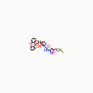 CCc1cc(NC(=O)C[N+]23CCC(CC2)[C@@H](OC(=O)C2(O)c4ccccc4Oc4ccccc42)C3)no1